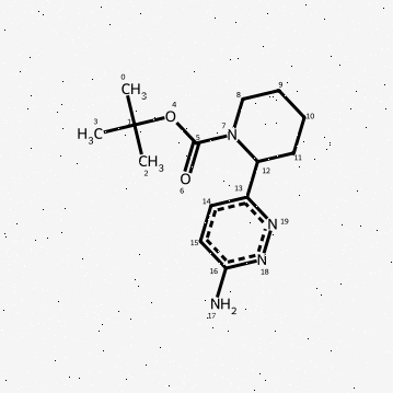 CC(C)(C)OC(=O)N1CCCCC1c1ccc(N)nn1